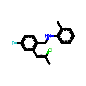 C/C(Cl)=C/c1cc(F)ccc1CNc1ccccc1C